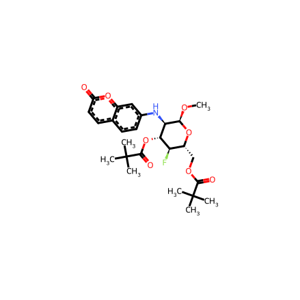 CO[C@H]1O[C@H](COC(=O)C(C)(C)C)[C@@H](F)[C@H](OC(=O)C(C)(C)C)[C@H]1Nc1ccc2ccc(=O)oc2c1